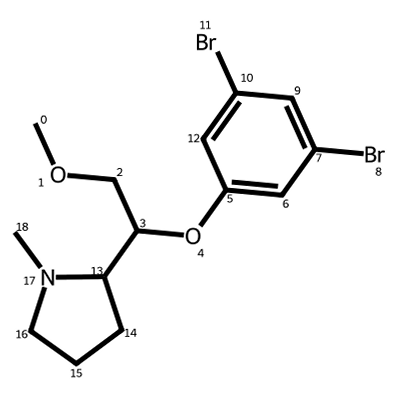 COCC(Oc1cc(Br)cc(Br)c1)C1CCCN1C